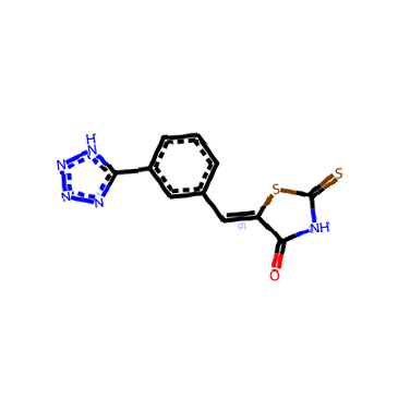 O=C1NC(=S)S/C1=C\c1cccc(-c2nnn[nH]2)c1